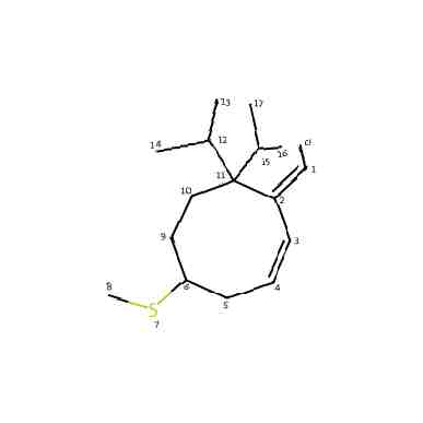 C/C=C1/C=C\CC(SC)CCC1(C(C)C)C(C)C